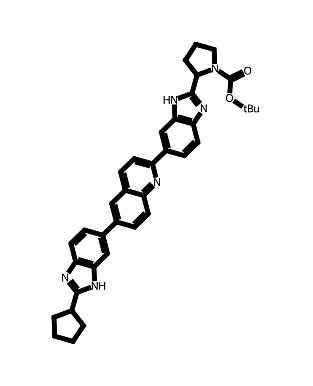 CC(C)(C)OC(=O)N1CCCC1c1nc2ccc(-c3ccc4cc(-c5ccc6nc(C7CCCC7)[nH]c6c5)ccc4n3)cc2[nH]1